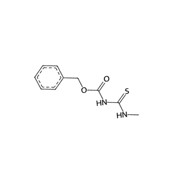 CNC(=S)NC(=O)OCc1ccccc1